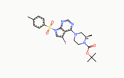 Cc1ccc(S(=O)(=O)n2cc(I)c3c(N4CCN(C(=O)OC(C)(C)C)[C@H](C)C4)ncnc32)cc1